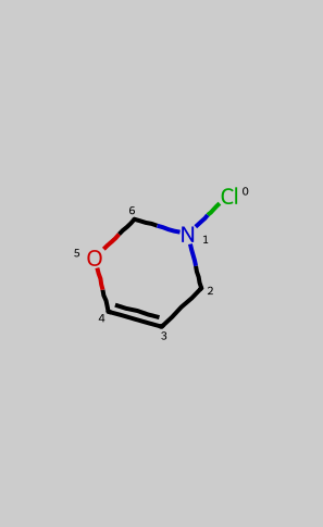 ClN1CC=COC1